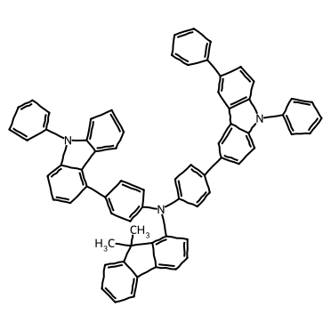 CC1(C)c2ccccc2-c2cccc(N(c3ccc(-c4ccc5c(c4)c4cc(-c6ccccc6)ccc4n5-c4ccccc4)cc3)c3ccc(-c4cccc5c4c4ccccc4n5-c4ccccc4)cc3)c21